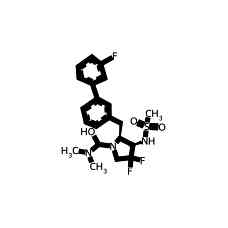 CN(C)C(O)N1CC(F)(F)[C@H](NS(C)(=O)=O)[C@@H]1Cc1cccc(-c2cccc(F)c2)c1